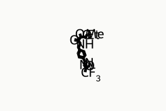 CCOCC(OC)C(=O)NCc1ccc(-c2noc(C(F)(F)F)n2)cc1